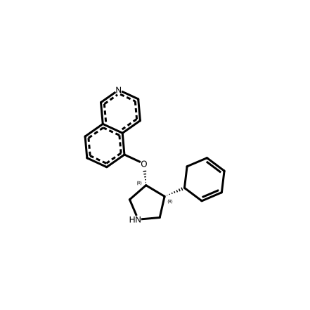 C1=CCC([C@@H]2CNC[C@@H]2Oc2cccc3cnccc23)C=C1